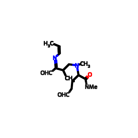 C/C=C\N=C(\C=O)C(C)CN(C)C(CCC=O)C(=O)NC